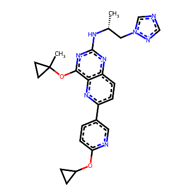 C[C@H](Cn1cncn1)Nc1nc(OC2(C)CC2)c2nc(-c3ccc(OC4CC4)nc3)ccc2n1